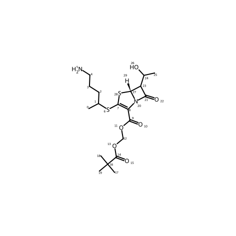 CC(CCCN)SC1=C(C(=O)OCOC(=O)C(C)(C)C)N2C(=O)C(C(C)O)[C@H]2S1